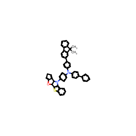 CC1(C)c2ccccc2-c2ccc(-c3ccc(N(c4ccc(-c5ccccc5)cc4)c4ccc(N5c6c(sc7ccccc67)C6OC7=CCC=C7C65)cc4)cc3)cc21